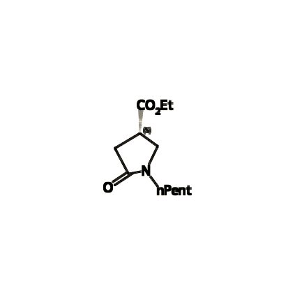 CCCCCN1C[C@@H](C(=O)OCC)CC1=O